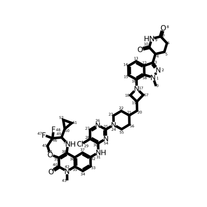 Cn1nc(C2CCC(=O)NC2=O)c2cccc(N3CC(CC4CCN(c5ncc(Cl)c(Nc6ccc7c(c6)c6c(c(=O)n7C)OCC(F)(F)C(C7CC7)N6)n5)CC4)C3)c21